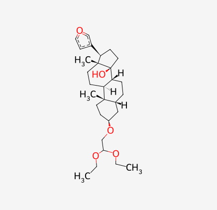 CCOC(CO[C@H]1CC[C@@]2(C)[C@H](CC[C@@H]3[C@@H]2CC[C@]2(C)[C@@H](c4ccoc4)CC[C@]32O)C1)OCC